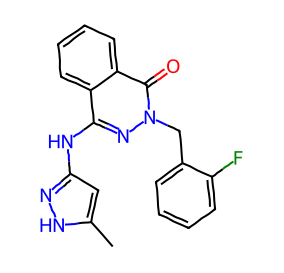 Cc1cc(Nc2nn(Cc3ccccc3F)c(=O)c3ccccc23)n[nH]1